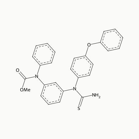 COC(=O)N(c1ccccc1)c1cccc(N(C(N)=S)c2ccc(Oc3ccccc3)cc2)c1